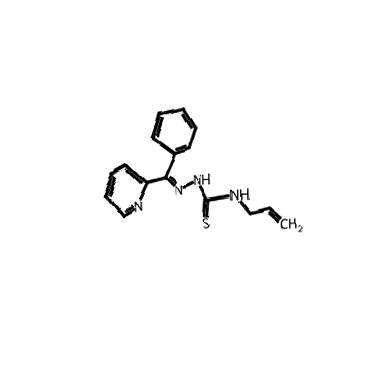 C=CCNC(=S)N/N=C(\c1ccccc1)c1ccccn1